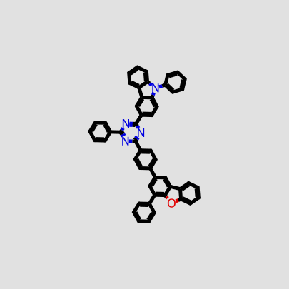 c1ccc(-c2nc(-c3ccc(-c4cc(-c5ccccc5)c5oc6ccccc6c5c4)cc3)nc(-c3ccc4c(c3)c3ccccc3n4-c3ccccc3)n2)cc1